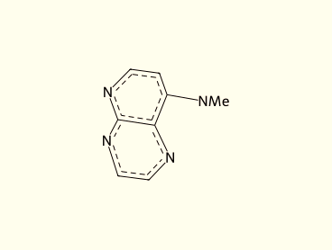 CNc1ccnc2nccnc12